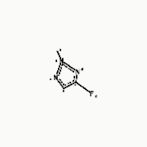 Cn1ncc(F)n1